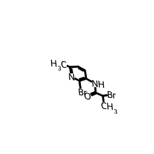 Cc1ccc(NC(=O)C(C)Br)c(Br)n1